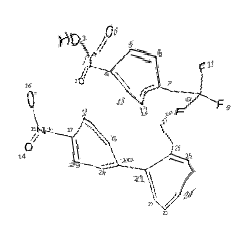 O=S(=O)(O)c1ccc(C(F)(F)F)cc1.O=[N+]([O-])c1ccc(-c2ccccc2I)cc1